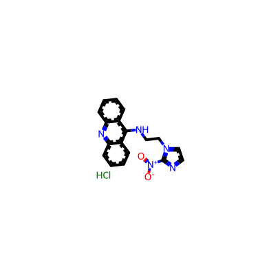 Cl.O=[N+]([O-])c1nccn1CCNc1c2ccccc2nc2ccccc12